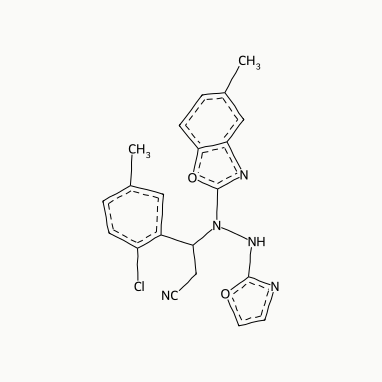 Cc1ccc(Cl)c(C(CC#N)N(Nc2ncco2)c2nc3cc(C)ccc3o2)c1